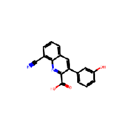 N#Cc1cccc2cc(-c3cccc(O)c3)c(C(=O)O)nc12